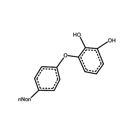 CCCCCCCCCc1ccc(Oc2cccc(O)c2O)cc1